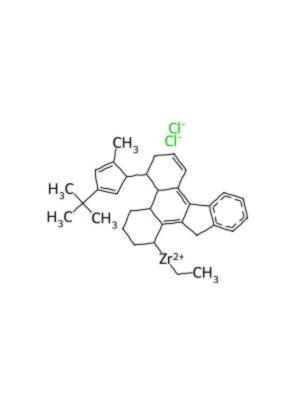 C[CH2][Zr+2][CH]1CCCC2C1=C1Cc3ccccc3C1=C1C=CCC(C3C=C(C(C)(C)C)C=C3C)C12.[Cl-].[Cl-]